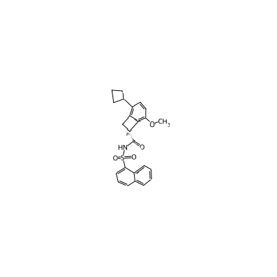 COc1ccc(C2CCC2)c2c1[C@H](C(=O)NS(=O)(=O)c1cccc3ccccc13)C2